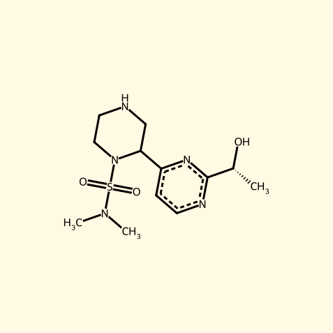 C[C@@H](O)c1nccc(C2CNCCN2S(=O)(=O)N(C)C)n1